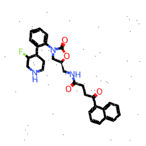 O=C(CCC(=O)c1cccc2ccccc12)NC[C@H]1CN(c2ccccc2C2CCNCC2F)C(=O)O1